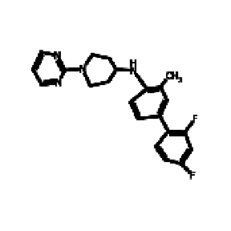 Cc1cc(-c2ccc(F)cc2F)ccc1NC1CCN(c2ncccn2)CC1